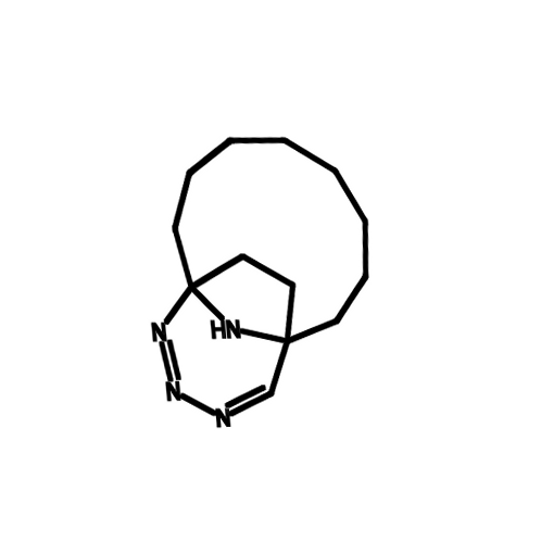 C1=NN=NC23CCCCCCCCC1(CC2)N3